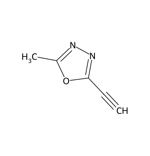 C#Cc1nnc(C)o1